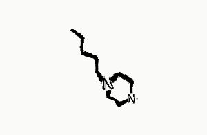 CC/C=C/CN1CC[N]CC1